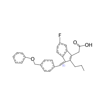 CCCC1=C(CC(=O)O)c2cc(F)ccc2/C1=C\c1ccc(COc2ccccc2)cc1